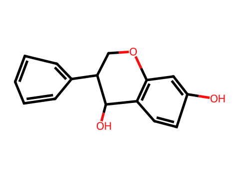 Oc1ccc2c(c1)OCC(c1ccccc1)C2O